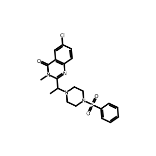 CC(c1nc2ccc(Cl)cc2c(=O)n1C)N1CCN(S(=O)(=O)c2ccccc2)CC1